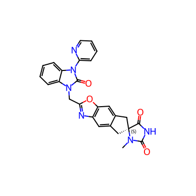 CN1C(=O)NC(=O)[C@@]12Cc1cc3nc(Cn4c(=O)n(-c5ccccn5)c5ccccc54)oc3cc1C2